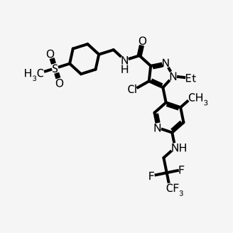 CCn1nc(C(=O)NCC2CCC(S(C)(=O)=O)CC2)c(Cl)c1-c1cnc(NCC(F)(F)C(F)(F)F)cc1C